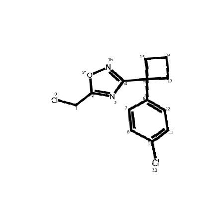 ClCc1nc(C2(c3ccc(Cl)cc3)CCC2)no1